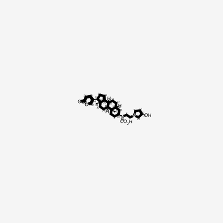 C[C@]12CC[C@H](N(CCN3CC[C@H](O)C3)C(=O)O)C[C@H]1CC[C@H]1C3=CC[C@H](c4ccc(=O)oc4)[C@@]3(C)CC[C@@H]12